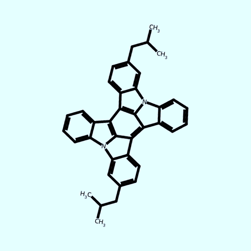 CC(C)Cc1ccc2c3c4c5ccccc5n5c6cc(CC(C)C)ccc6c(c6c7ccccc7n(c2c1)c63)c45